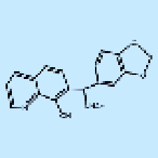 CC(=O)NC(c1ccc2c(c1)OCO2)c1ccc2cccnc2c1O